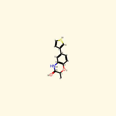 CC1Oc2ccc(-c3ccsc3)cc2NC1=O